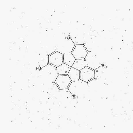 Nc1cccc(C(c2cccc(N)c2)(c2cccc(N)c2)c2cccc(N)c2)c1